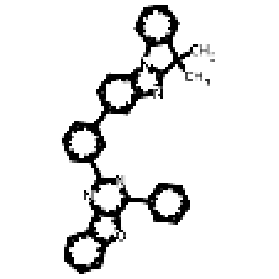 CC1(C)c2ccccc2-n2c1nc1cc(-c3cccc(-c4nc(-c5ccccc5)c5oc6ccccc6c5n4)c3)ccc12